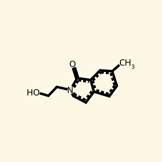 Cc1ccc2ccn(CCO)c(=O)c2c1